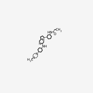 C=CC(=O)Nc1cccc(-c2ccc3cnc(Nc4ccc(N5CCN(C)CC5)cc4)cn23)c1